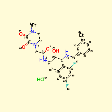 CCCN1CCN(CC(=O)N[C@@H](Cc2cc(F)cc(F)c2)[C@H](O)CNCc2cccc(CC)c2)C(=O)C1=O.Cl